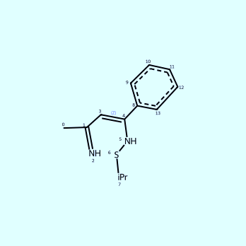 CC(=N)/C=C(\NSC(C)C)c1ccccc1